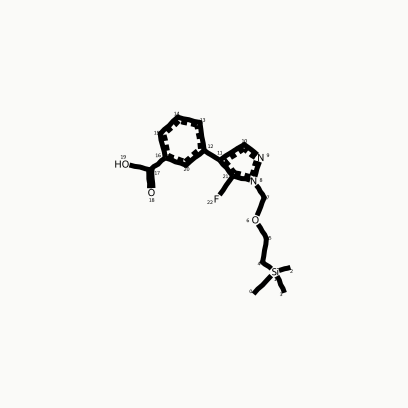 C[Si](C)(C)CCOCn1ncc(-c2cccc(C(=O)O)c2)c1F